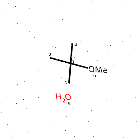 COC(C)(C)C.O